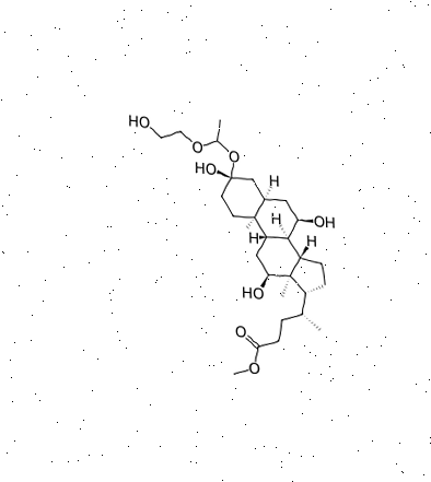 COC(=O)CC[C@@H](C)[C@H]1CC[C@H]2[C@@H]3[C@H](O)C[C@@H]4C[C@@](O)(OC(C)OCCO)CC[C@]4(C)[C@H]3C[C@H](O)[C@]12C